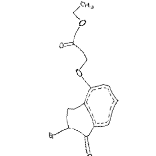 CCOC(=O)COc1cccc2c1CC(Br)C2=O